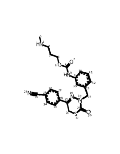 CNCCCOC(=O)Nc1cccc(CN2N=C(c3ccc(C#N)cc3)CSC2=O)c1